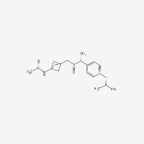 CC(=O)NC12CC(CC(=O)C(C)c3ccc(CC(C)C)cc3)(C1)C2